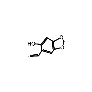 [CH]=Cc1cc2c(cc1O)OCO2